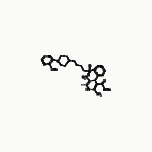 COC(=O)C1=C(N)NC(C)=C([N+](=O)[O-])C1c1ccccc1S(=O)(=O)CCCCN1CCN(c2ccccc2OC)CC1